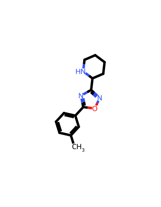 Cc1cccc(-c2nc(C3CCCCN3)no2)c1